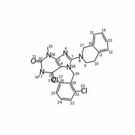 Cn1c(=O)c2c(nc(N3CCc4ccccc4C3)n2Cc2c(Cl)cccc2Cl)n(C)c1=O